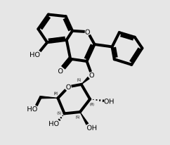 O=c1c(O[C@@H]2O[C@H](CO)[C@@H](O)[C@H](O)[C@H]2O)c(-c2ccccc2)oc2cccc(O)c12